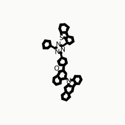 c1ccc(-c2nc(-c3ccc4c(c3)oc3c5ccccc5c(-n5c6ccccc6c6cc7ccccc7cc65)cc43)nc(-c3cccc4c3sc3ccccc34)n2)cc1